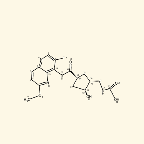 COc1ccc2ncc(F)c(NC(=O)[C@H]3C[C@H](CNC(=O)O)[C@@H](O)C3)c2n1